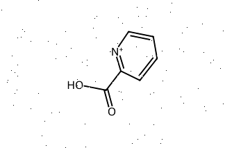 O=C(O)C1=[N+]C=CC=C1